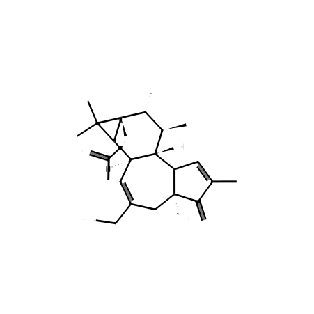 CCCC(=O)O[C@]12C([C@@H]3C=C(CO)C[C@]4(O)C(=O)C(C)=CC4[C@@]3(O)[C@H](C)[C@H]1O)C2(C)C